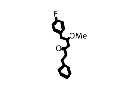 COC(CC(=O)CCc1ccccc1)Cc1ccc(F)cc1